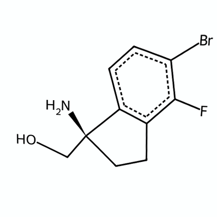 N[C@]1(CO)CCc2c1ccc(Br)c2F